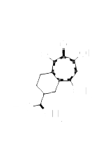 C=C(C)C1CCc2c(c(C)cc(O)c(=O)c2O)C1